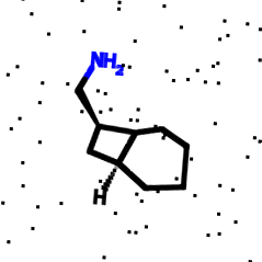 NC[C@@H]1C[C@@H]2CCCCC12